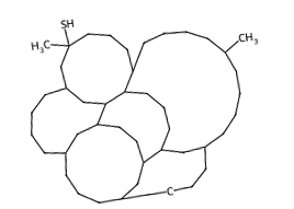 CC1CCCCC2CCCC3CCCC4CCCCC5CC6C(CCC(C3)C(CCCC6C(CCCC1)CCCC(C)(S)C5)C2)C4